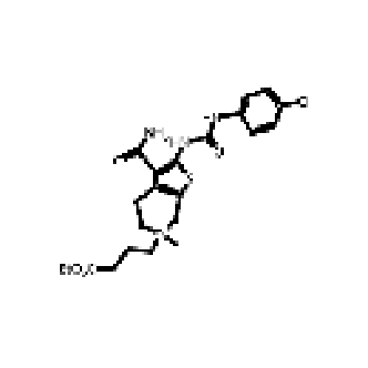 CCOC(=O)CCC[N+]1(C)CCc2c(sc(NC(=O)Nc3ccc(Cl)cc3)c2C(N)=O)C1